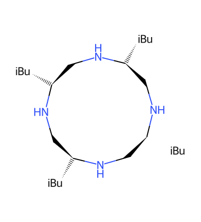 CC[C@H](C)[C@H]1CN[C@@H]([C@@H](C)CC)CN[C@@H]([C@@H](C)CC)CN[C@@H]([C@@H](C)CC)CN1